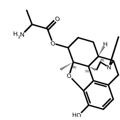 CC(N)C(=O)OC1CC[C@H]2C3Cc4ccc(O)c5c4[C@@]2(CCN3C)[C@@]1(C)O5